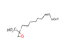 CCCCCCCC/C=C\CCCCCCC1(C(=O)O)CO1